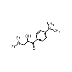 CCN(CC)CC(O)C(=O)c1ccc(N(C)C)cc1